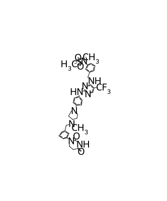 CN(Cc1cccc(N2CCC(=O)NC2=O)c1)C1CCN(c2ccc(Nc3ncc(C(F)(F)F)c(NCc4cccc(N(C)S(C)(=O)=O)c4)n3)cc2)CC1